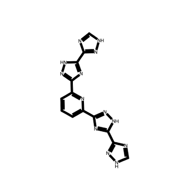 c1cc(-c2n[nH]c(-c3nc[nH]n3)n2)nc(-c2n[nH]c(-c3nc[nH]n3)n2)c1